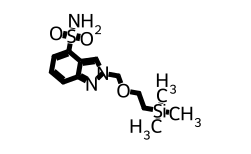 C[Si](C)(C)CCOCn1cc2c(S(N)(=O)=O)cccc2n1